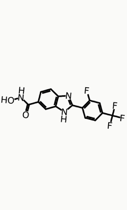 O=C(NO)c1ccc2nc(-c3ccc(C(F)(F)F)cc3F)[nH]c2c1